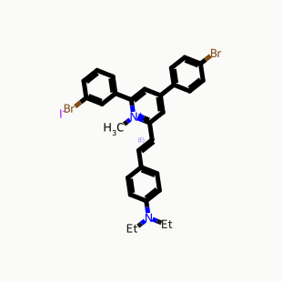 CCN(CC)c1ccc(/C=C/c2cc(-c3ccc(Br)cc3)cc(-c3cccc(Br)c3)[n+]2C)cc1.[I-]